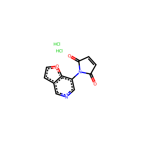 Cl.Cl.O=C1C=CC(=O)N1c1cncc2ccoc12